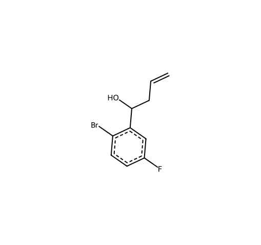 C=CCC(O)c1cc(F)ccc1Br